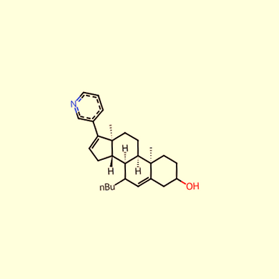 CCCCC1C=C2CC(O)CC[C@]2(C)[C@@H]2CC[C@]3(C)C(c4cccnc4)=CC[C@H]3[C@H]12